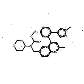 Cc1cc(-c2ccccc2-c2cnn(C)c2)c2cc(CN(C(=O)OC(C)(C)C)C3CCOCC3)ccc2n1